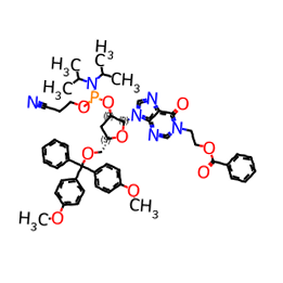 COc1ccc(C(OC[C@@H]2C[C@@H](OP(OCCC#N)N(C(C)C)C(C)C)[C@H](n3cnc4c(=O)n(CCOC(=O)c5ccccc5)cnc43)O2)(c2ccccc2)c2ccc(OC)cc2)cc1